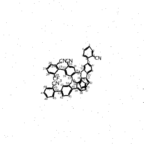 N#Cc1ccccc1-c1ccc2c3ccccc3n(-c3cc(C#N)c(-c4c(C#N)cccc4C(F)(F)F)cc3-n3c4ccccc4c4ccc(-c5ccccc5C#N)cc43)c2c1